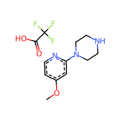 COc1ccnc(N2CCNCC2)c1.O=C(O)C(F)(F)F